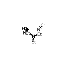 C#N.CCN(CC)CC.[C-]#N.[H+]